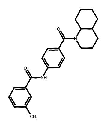 Cc1cccc(C(=O)Nc2ccc(C(=O)N3CCCC4CCCCC43)cc2)c1